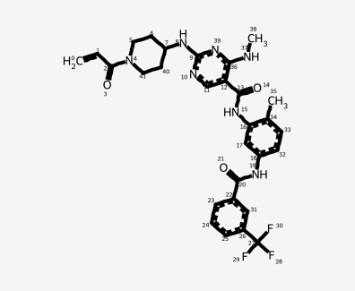 C=CC(=O)N1CCC(Nc2ncc(C(=O)Nc3cc(NC(=O)c4cccc(C(F)(F)F)c4)ccc3C)c(NC)n2)CC1